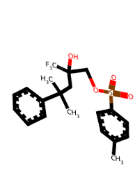 Cc1ccc(S(=O)(=O)OCC(O)(CC(C)(C)c2ccccc2)C(F)(F)F)cc1